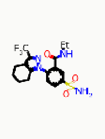 CCNC(=O)c1cc(S(N)(=O)=O)ccc1-n1nc(C(F)(F)F)c2c1CCCC2